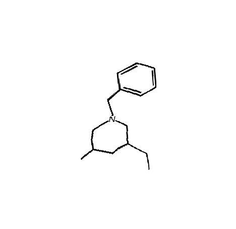 CCC1CC(C)CN(Cc2ccccc2)C1